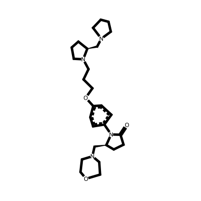 O=C1CC[C@@H](CN2CCOCC2)N1c1ccc(OCCCN2CCC[C@H]2CN2CCCC2)cc1